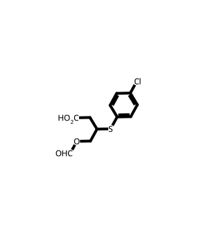 O=COCC(CC(=O)O)Sc1ccc(Cl)cc1